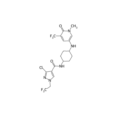 Cn1cc(NC2CCC(NC(=O)c3cn(CC(F)(F)F)nc3Cl)CC2)cc(C(F)(F)F)c1=O